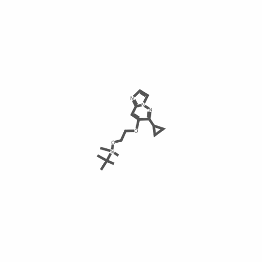 CC(C)(C)[Si](C)(C)OCCOc1cc2nccn2nc1C1CC1